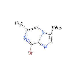 Cc1cn2c(C)cnc2c(Br)n1